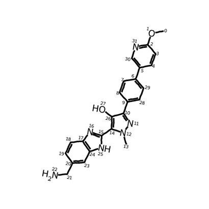 COc1ccc(-c2ccc(-c3nn(C)c(-c4nc5ccc(CN)cc5[nH]4)c3O)cc2)cn1